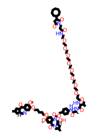 COc1cc2c(cc1OCCCCCOc1cc3c(cc1OC)C(=O)N1C=C(C)C[C@H]1[C@H](O)N3C(=O)OCc1ccc(NC(=O)[C@H](C)NC(=O)[C@@H](NC(=O)CCOCCOCCOCCOCCOCCOCCOCCOCCNC(=O)CCN3C(=O)CC(C4CCCCCCC4)C3=O)C(C)C)cc1)N=C[C@@H]1CC(C)=CC1C2=O